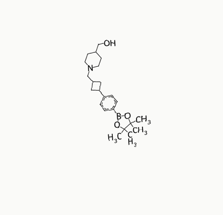 CC1(C)OB(c2ccc(C3CC(CN4CCC(CO)CC4)C3)cc2)OC1(C)C